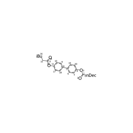 CCCCCCCCCCC(=O)Oc1ccc(-c2ccc(OC(=O)CC(C)CC)cc2)cc1